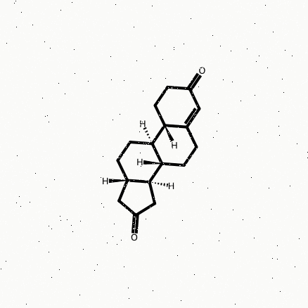 O=C1C=C2CC[C@H]3[C@@H](CC[C@H]4CC(=O)C[C@@H]43)[C@@H]2CC1